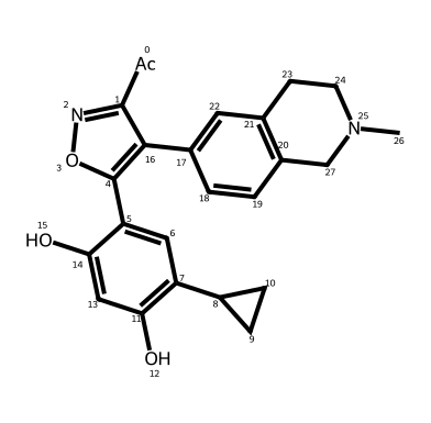 CC(=O)c1noc(-c2cc(C3CC3)c(O)cc2O)c1-c1ccc2c(c1)CCN(C)C2